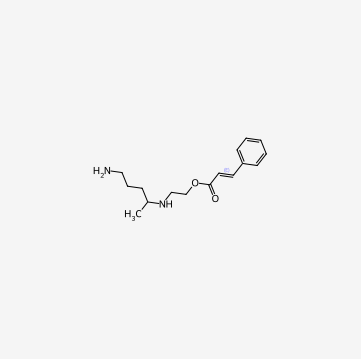 CC(CCCN)NCCOC(=O)/C=C/c1ccccc1